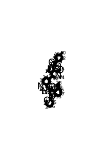 Cc1ccc(S(=O)(=O)n2ccc3c(-c4ccc5ncnc(C(COC6CCCCO6)(OC6CC6)c6ccccc6)c5c4)cn(C)c(=O)c32)cc1